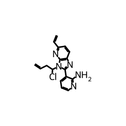 C=CCC(Cl)n1c(-c2cccnc2N)nc2ccc(C=C)nc21